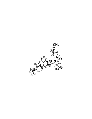 CCOC(=O)N1CCN(C(=O)[C@H](CCC(=O)O)NC(=O)c2cc(OCC(=O)N3CC[C@H]3C(=O)NC3CCC3)n(-c3ccccc3)n2)CC1